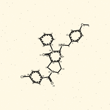 COc1ccc(CNc2nc3c(c(=O)n2-c2ccccc2)CN(C(=O)c2ccc(Cl)cc2)CC3)cc1